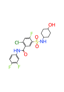 O=C(Nc1ccc(F)c(F)c1)c1cc(S(=O)(=O)NC2CCC(O)CC2)c(F)cc1Cl